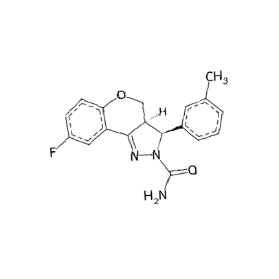 Cc1cccc([C@@H]2[C@@H]3COc4ccc(F)cc4C3=NN2C(N)=O)c1